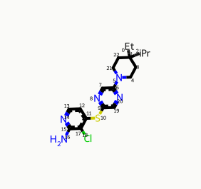 CCC1(C(C)C)CCN(c2cnc(Sc3ccnc(N)c3Cl)cn2)CC1